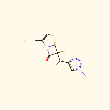 CC(=O)OC(c1cn(C)nn1)C1(Br)C(=O)N2C(C(=O)O)=CS[C@H]21